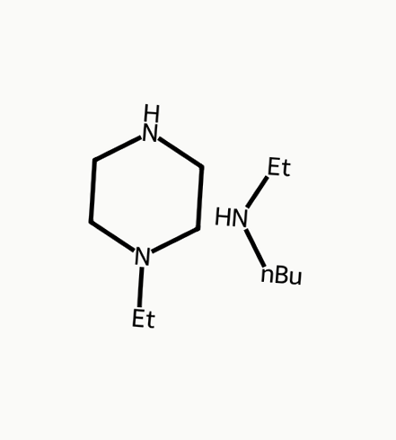 CCCCNCC.CCN1CCNCC1